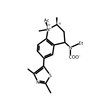 CCN(C(=O)[O-])C1C[C@H](C)[N@+](C)(C(C)=O)c2ccc(-c3sc(C)nc3C)cc21